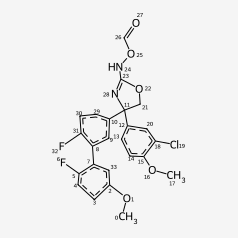 COc1ccc(F)c(-c2cc(C3(c4ccc(OC)c(Cl)c4)COC(NOC=O)=N3)ccc2F)c1